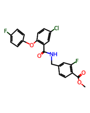 COC(=O)c1ccc(CNC(=O)c2cc(Cl)ccc2Oc2ccc(F)cc2)cc1F